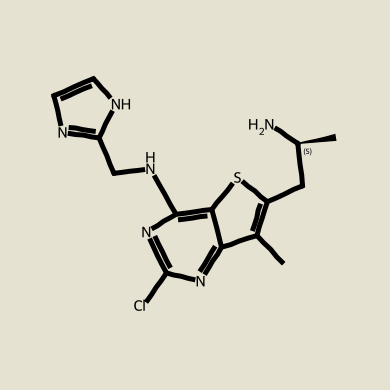 Cc1c(C[C@H](C)N)sc2c(NCc3ncc[nH]3)nc(Cl)nc12